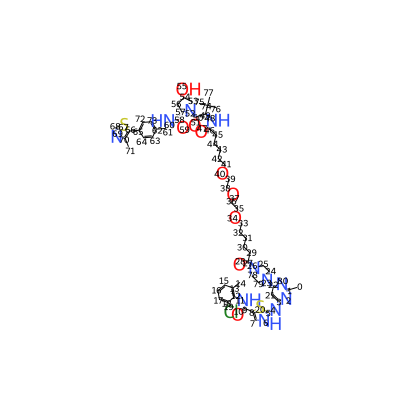 Cc1nc(Nc2ncc(C(=O)Nc3c(C)cccc3Cl)s2)cc(N2CCN(C(=O)CCCCCOCCOCCOCCCCCC(=O)N[C@H](C(=O)N3C[C@H](O)C[C@H]3C(=O)NCc3ccc(-c4scnc4C)cc3)C(C)(C)C)CC2)n1